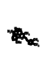 CC(=O)Oc1ccc2c3c1OC1C(N(C)C(=O)CCc4ccc(C)c(C)c4)CC[C@@]4(OC(C)=O)[C@@H](C2)N(C)CC[C@]314